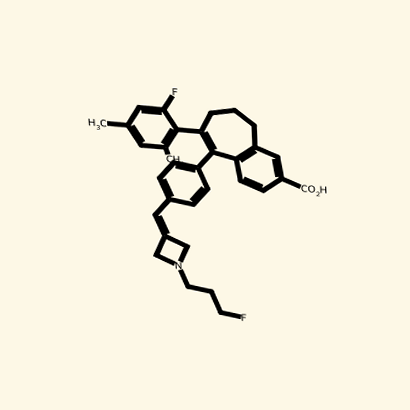 Cc1cc(C)c(C2=C(c3ccc(C=C4CN(CCCF)C4)cc3)c3ccc(C(=O)O)cc3CCC2)c(F)c1